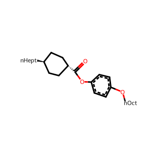 CCCCCCCCOc1ccc(OC(=O)[C@H]2CC[C@H](CCCCCCC)CC2)cc1